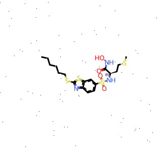 CCCCCCSc1nc2ccc(S(=O)(=O)N[C@H](CCSC)C(=O)NO)cc2s1